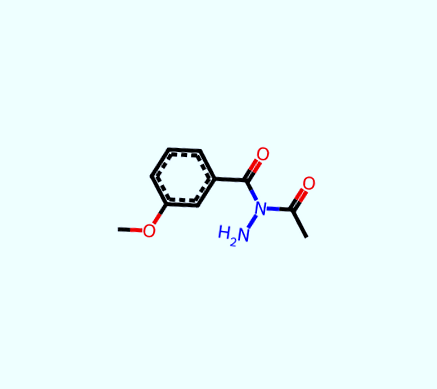 COc1cccc(C(=O)N(N)C(C)=O)c1